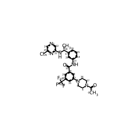 CC(=O)N1CCN(c2cc(C(=O)Nc3cccc([C@H](C)Nc4cncc(Cl)n4)c3)cc(C(F)(F)F)c2)CC1